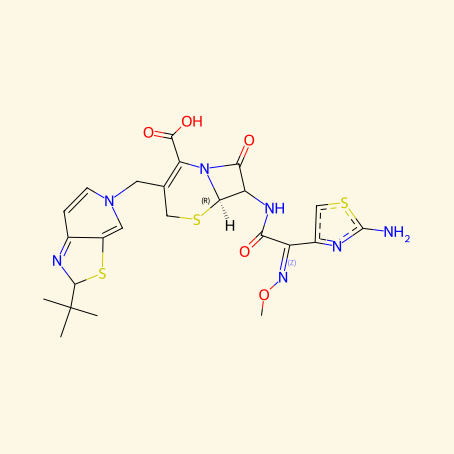 CO/N=C(\C(=O)NC1C(=O)N2C(C(=O)O)=C(CN3C=CC4=NC(C(C)(C)C)SC4=C3)CS[C@H]12)c1csc(N)n1